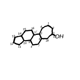 OC1CCCC2C(CCC3C4CCCC4CCC23)C1